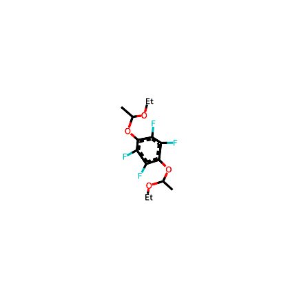 CCOC(C)Oc1c(F)c(F)c(OC(C)OCC)c(F)c1F